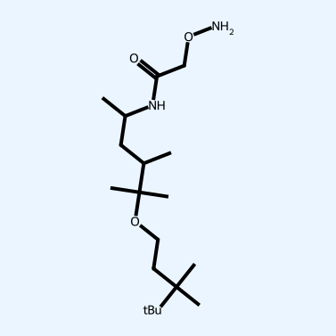 CC(CC(C)C(C)(C)OCCC(C)(C)C(C)(C)C)NC(=O)CON